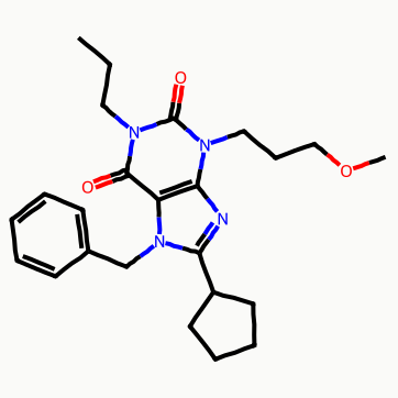 CCCn1c(=O)c2c(nc(C3CCCC3)n2Cc2ccccc2)n(CCCOC)c1=O